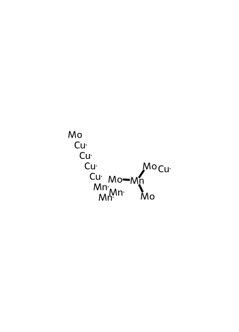 [Cu].[Cu].[Cu].[Cu].[Cu].[Mn].[Mn].[Mn].[Mo].[Mo][Mn]([Mo])[Mo]